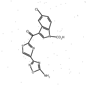 Nc1nc(-c2csc(C(=O)c3cn(C(=O)O)c4ccc(Cl)cc34)n2)no1